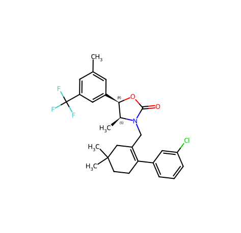 Cc1cc([C@H]2OC(=O)N(CC3=C(c4cccc(Cl)c4)CCC(C)(C)C3)[C@H]2C)cc(C(F)(F)F)c1